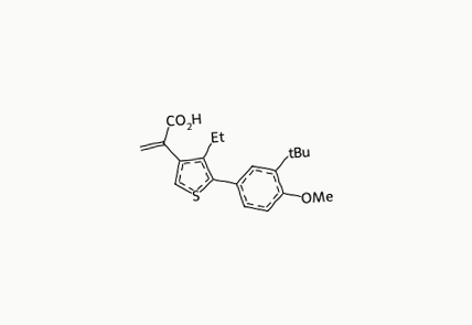 C=C(C(=O)O)c1csc(-c2ccc(OC)c(C(C)(C)C)c2)c1CC